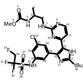 COC(=O)NC(C)CNc1nccc(-c2[nH]c(C(C)(C)C)nc2-c2cc(Cl)cc(NS(=O)(=O)C(F)(F)CF)c2)n1